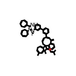 C=C1/C=C(c2cccc(-c3cccc(N(F)N(C(=N)C4=CCC=CC=C4)C4=CC=CC=CC4)c3)c2)\C=C/CC(C2=CCC=C(C)C=C2)(/C(=C/C=C(C)C)CC)c2ccccc21